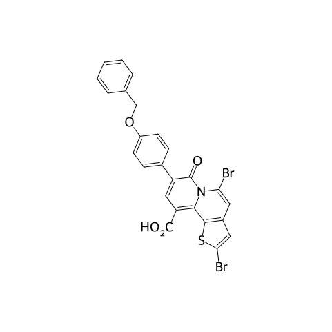 O=C(O)c1cc(-c2ccc(OCc3ccccc3)cc2)c(=O)n2c(Br)cc3cc(Br)sc3c12